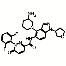 N[C@@H]1CCCN(c2c(NC(=O)c3ccc(=O)n(-c4c(F)cccc4F)n3)ccc3c2cnn3[C@H]2CCOC2)C1